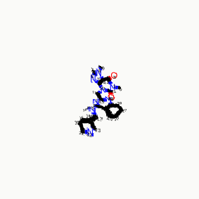 CN1C(=O)C2C(N=CN2C)N(Cc2nc(N(C)Cc3cccnc3)c3ccccc3n2)C1=O